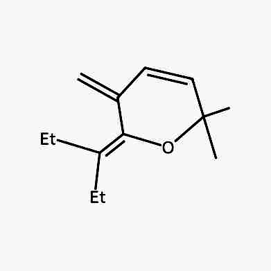 C=C1C=CC(C)(C)OC1=C(CC)CC